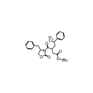 CC(CC(CC(=O)OC(C)(C)C)C(=O)N1C(=O)OCC1Cc1ccccc1)c1ccccc1